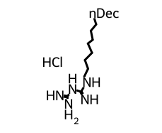 CCCCCCCCCCCCCCCCCCNC(=N)NC(=N)N.Cl